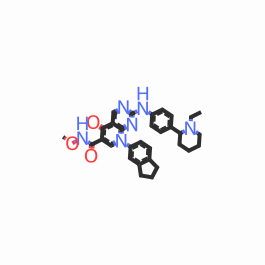 CCN1CCCCC1c1ccc(Nc2ncc3c(=O)c(C(=O)NOC)cn(-c4ccc5c(c4)CCC5)c3n2)cc1